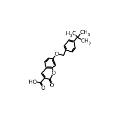 CC(C)(C)c1ccc(COc2ccc3cc(C(=O)O)c(=O)oc3c2)cc1